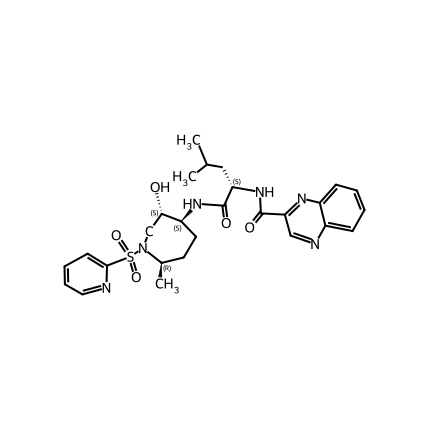 CC(C)C[C@H](NC(=O)c1cnc2ccccc2n1)C(=O)N[C@H]1CC[C@@H](C)N(S(=O)(=O)c2ccccn2)C[C@@H]1O